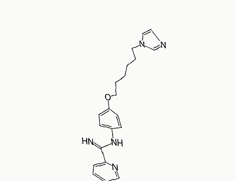 N=C(Nc1ccc(OCCCCCCn2ccnc2)cc1)c1ccccn1